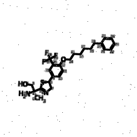 C[C@](N)(CO)C1=NCC(c2ccc(OCCCCCCc3ccccc3)c(C(F)(F)F)c2)S1